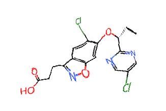 CC[C@@H](Oc1cc2onc(CCC(=O)O)c2cc1Cl)c1ncc(Cl)cn1